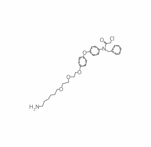 NCCCCCCOCCOCCOc1ccc(Oc2ccc(N(Cc3ccccc3)C(=O)CCl)cc2)cc1